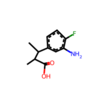 CC(C(=O)O)C(C)c1ccc(F)c(N)c1